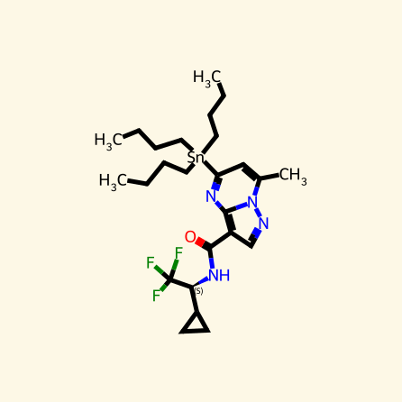 CCC[CH2][Sn]([CH2]CCC)([CH2]CCC)[c]1cc(C)n2ncc(C(=O)N[C@@H](C3CC3)C(F)(F)F)c2n1